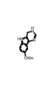 COc1ccc2[nH]c3c(c2c1)N=CNC3